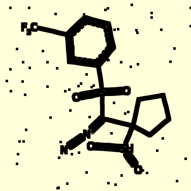 [N-]=[N+]=C(C1([SH](=O)=O)CCCC1)S(=O)(=O)c1cccc(C(F)(F)F)c1